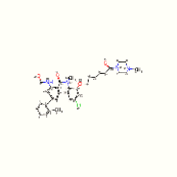 Cc1ccccc1-c1ccc(C(=O)N(C)c2ccc(Cl)cc2OCCCCCC(=O)N2CCN(C)CC2)c(NC=O)c1